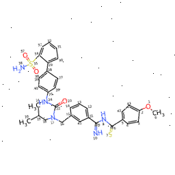 COc1ccc(C(=S)NC(=N)c2cccc(CN(CC(C)C)C(=O)Nc3ccc(-c4ccccc4S(N)(=O)=O)cc3)c2)cc1